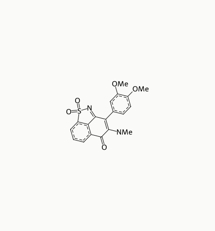 CNC1=C(c2ccc(OC)c(OC)c2)C2=NS(=O)(=O)c3cccc(c32)C1=O